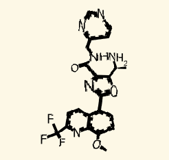 COc1ccc(-c2nc(C(=O)NCc3ccncn3)c([C@H](C)N)o2)c2ccc(C(F)(F)F)nc12